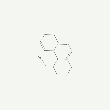 C1=CC2=CC=C3CCCCC3C2C=C1.CC(C)=O